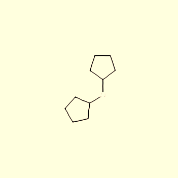 C1CCC(NC2CCCC2)C1.Cl